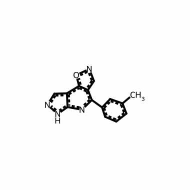 Cc1cccc(-c2nc3[nH]ncc3c3oncc23)c1